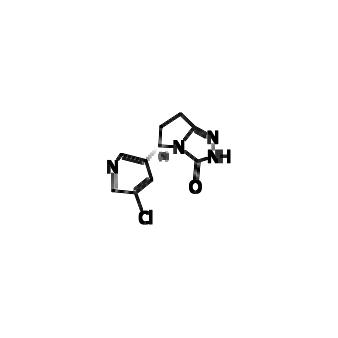 O=c1[nH]nc2n1[C@H](c1cncc(Cl)c1)CC2